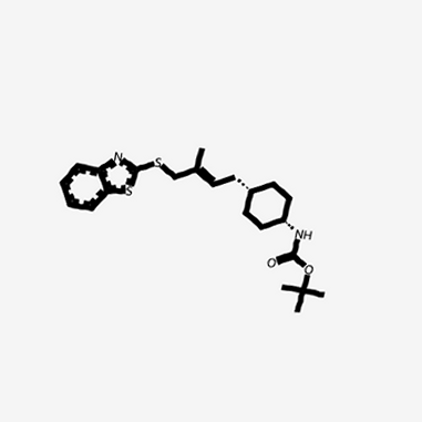 C/C(=C\C[C@H]1CC[C@@H](NC(=O)OC(C)(C)C)CC1)CSc1nc2ccccc2s1